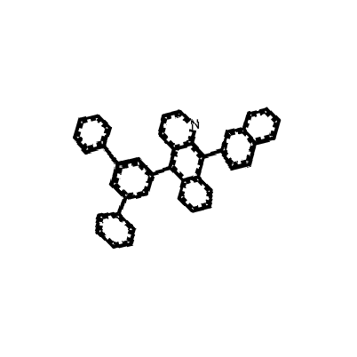 c1ccc(-c2cc(-c3ccccc3)cc(-c3c4ccccc4c(-c4ccc5ccccc5c4)c4ncccc34)c2)cc1